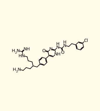 N=C(N)NCCCC(CCCN)Cc1ccc(-c2c[nH]c(NC(=O)NCCc3cccc(Cl)c3)nc2=O)cc1